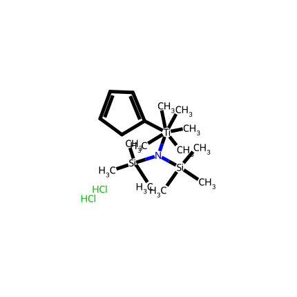 C[Si](C)(C)[N]([Si](C)(C)C)[Ti]([CH3])([CH3])([CH3])([CH3])([CH3])[C]1=CC=CC1.Cl.Cl